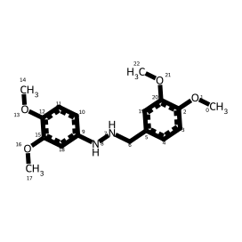 COc1ccc(CNNc2ccc(OC)c(OC)c2)cc1OC